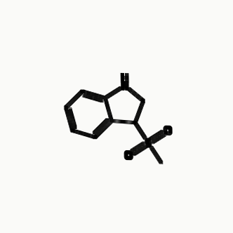 CS(=O)(=O)C1CNc2ccccc21